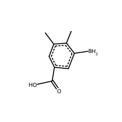 Bc1cc(C(=O)O)cc(C)c1C